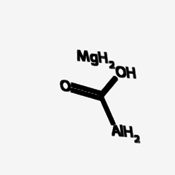 O=[C](O)[AlH2].[MgH2]